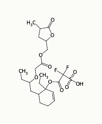 CCC(CC1CCC=CC1(CC)OC(=O)C(F)(F)S(=O)(=O)O)OCC(=O)OCC1CC(C)C(=O)O1